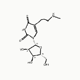 CNCCc1cn([C@@H]2O[C@H](CO)[C@@H](O)[C@H]2O)c(=O)[nH]c1=O